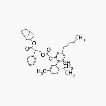 C=C(C)C1CCC(C)=CC1c1c(O)cc(CCCCC)cc1OC(=O)OCC(C(=O)OC1CC2CCC(C2)C1)c1ccccc1